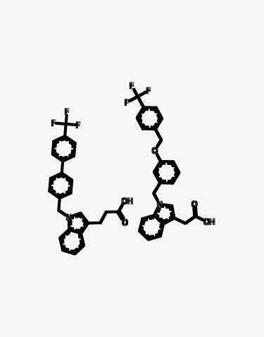 O=C(O)CCc1cn(Cc2ccc(-c3ccc(C(F)(F)F)cc3)cc2)c2ccccc12.O=C(O)Cc1cn(Cc2cccc(OCc3ccc(C(F)(F)F)cc3)c2)c2ccccc12